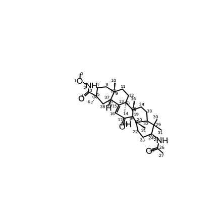 CONC(=O)[C@@]1(C)CC[C@]2(C)CC[C@]3(C)C(=CC(=O)[C@@H]4[C@@]5(C)CC[C@H](NC(C)=O)C(C)(C)C5CC[C@]43C)[C@@H]2C1